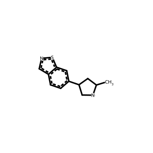 CC1CC(c2ccc3cnsc3c2)C[N]1